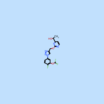 CC(O)c1ccnc(OCc2cn(-c3ccc(F)c(OC(F)F)c3)nn2)n1